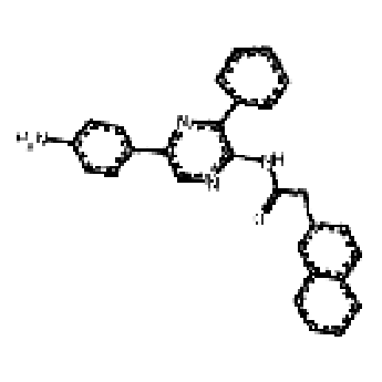 Nc1ccc(-c2cnc(NC(=O)Cc3ccc4ccccc4c3)c(-c3ccccc3)n2)cc1